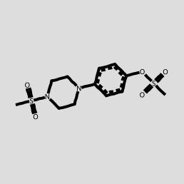 CS(=O)(=O)Oc1ccc(N2CCN(S(C)(=O)=O)CC2)cc1